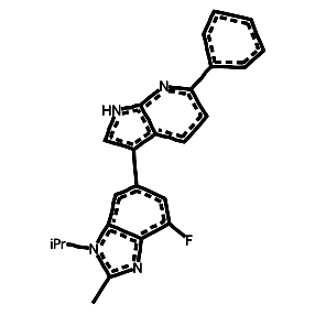 Cc1nc2c(F)cc(-c3c[nH]c4nc(-c5ccccc5)ccc34)cc2n1C(C)C